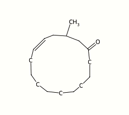 CC1CC=CCCCCCCCCCC(=O)C1